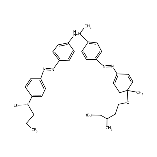 CCN(CCC(F)(F)F)c1ccc(/N=N/c2ccc(NN(C)c3ccc(/N=N/C4=CCC(C)(OCCC(C)CC(C)(C)C)C=C4)cc3)cc2)cc1